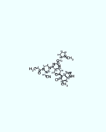 C=CC(=O)N1CCN(c2nc(OC[C@@H]3CCCN3C)nc3c2CO[C@H](c2c(Cl)c(C)cc4[nH]ncc24)C3)C[C@@H]1CC#N